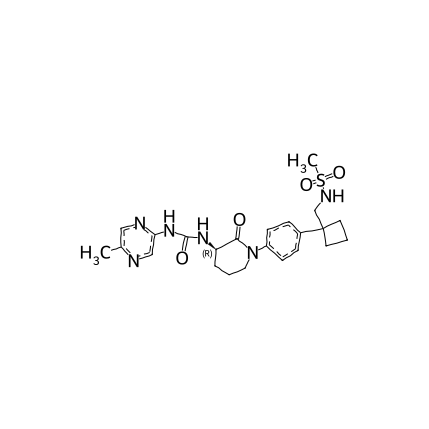 Cc1cnc(NC(=O)N[C@@H]2CCCN(c3ccc(C4(CNS(C)(=O)=O)CCC4)cc3)C2=O)cn1